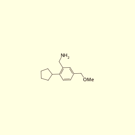 COCc1ccc(C2CCCC2)c(CN)c1